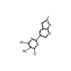 CC(C)c1nc(-c2cnc3nn(C)cc3c2)nc(Cl)c1C#N